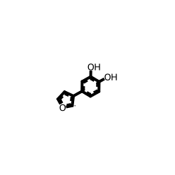 Oc1ccc(-c2[c]occ2)cc1O